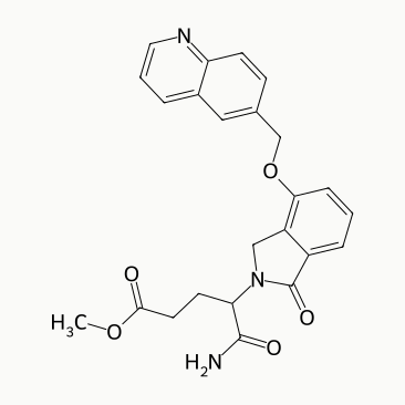 COC(=O)CCC(C(N)=O)N1Cc2c(OCc3ccc4ncccc4c3)cccc2C1=O